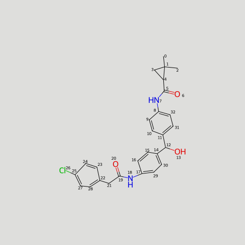 CC1(C)CC1C(=O)Nc1ccc(C(O)c2ccc(NC(=O)Cc3ccc(Cl)cc3)cc2)cc1